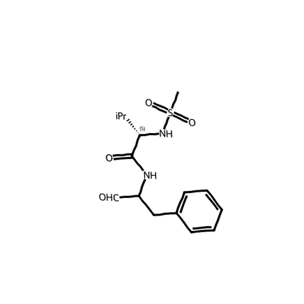 CC(C)[C@H](NS(C)(=O)=O)C(=O)NC(C=O)Cc1ccccc1